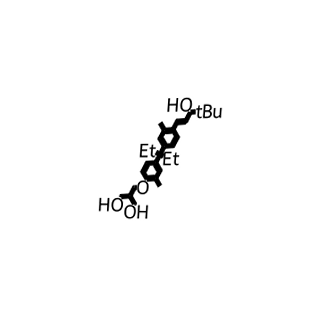 CCC(CC)(c1ccc(C=CC(O)C(C)(C)C)c(C)c1)c1ccc(OCC(CO)CO)c(C)c1